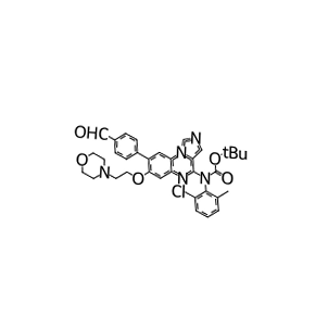 Cc1cccc(Cl)c1N(C(=O)OC(C)(C)C)c1nc2cc(OCCN3CCOCC3)c(-c3ccc(C=O)cc3)cc2n2cncc12